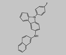 Fc1ccc(-n2c3ccccc3c3cc(Nc4ccc5ccccc5c4)ccc32)cc1